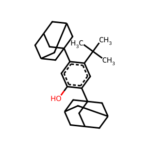 CC(C)(C)c1cc(C23CC4CC(CC(C4)C2)C3)c(O)cc1C12CC3CC(CC(C3)C1)C2